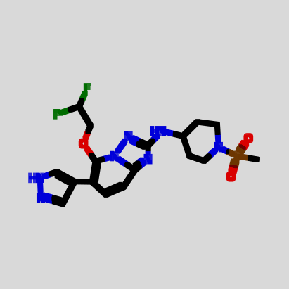 CS(=O)(=O)N1CCC(Nc2nc3ccc(-c4cn[nH]c4)c(OCC(F)F)n3n2)CC1